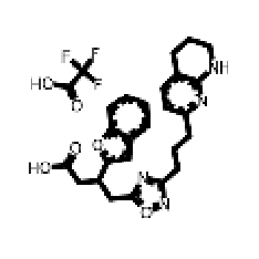 O=C(O)C(F)(F)F.O=C(O)CC(Cc1nc(CCCc2ccc3c(n2)NCCC3)no1)c1cc2ccccc2o1